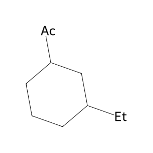 CCC1CCCC(C(C)=O)C1